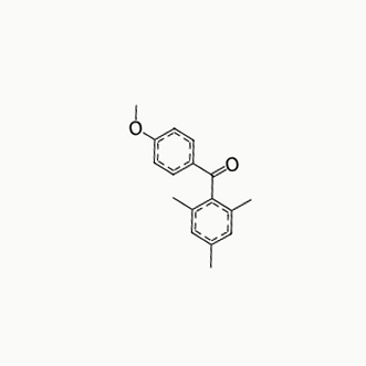 COc1ccc(C(=O)c2c(C)cc(C)cc2C)cc1